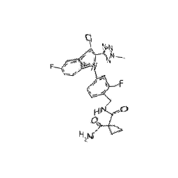 Cn1nnc(-c2c(Cl)c3cc(F)ccc3n2-c2ccc(CNC(=O)C3(C(N)=O)CC3)c(F)c2)n1